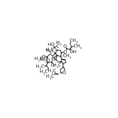 CC[C@@H](C)[C@@H](O)C(=O)O[C@@H]1C[C@]2(C)C(=CC[C@H]2[C@H]2CO[C@H](C=C(C)C)C2)[C@@]2(C)[C@H]1[C@@](C)(CCC(=O)OC)[C@@H](C(C)(C)O)C[C@H]2OC(=O)[C@H](O)[C@H](C)CC